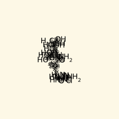 C[C@@H]([C@@H](O)[C@H](O)[C@@H](O)CN(CCCN[C@@H](CCc1ccc(CCCCNC(=N)NC(=O)c2nc(Cl)c(N)nc2N)c2c1CCCC2)C(N)=O)C[C@H](O)[C@@H](O)[C@H](O)[C@H](O)CO)[C@H](O)CO